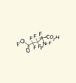 O=C(OF)C(F)(F)C(F)(F)[C@@](F)(C(=O)O)N(F)F